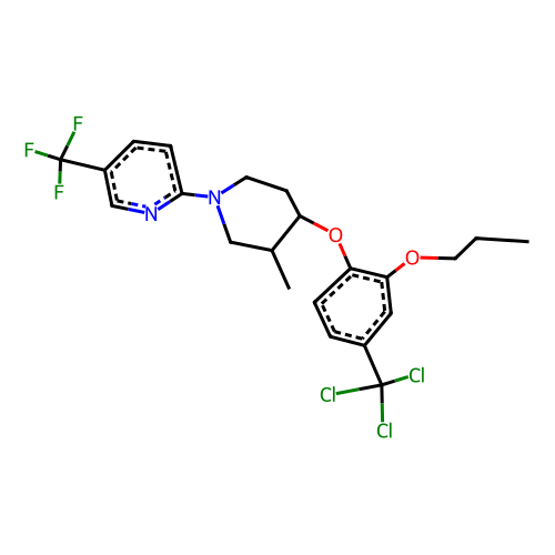 CCCOc1cc(C(Cl)(Cl)Cl)ccc1OC1CCN(c2ccc(C(F)(F)F)cn2)CC1C